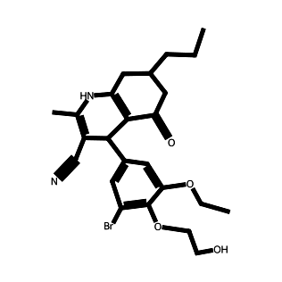 CCCC1CC(=O)C2=C(C1)NC(C)=C(C#N)C2c1cc(Br)c(OCCO)c(OCC)c1